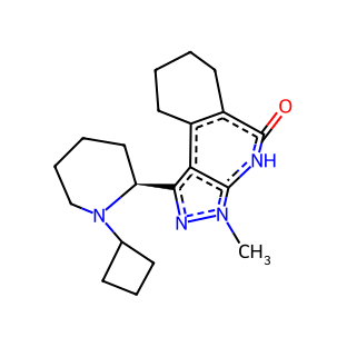 Cn1nc([C@@H]2CCCCN2C2CCC2)c2c3c(c(=O)[nH]c21)CCCC3